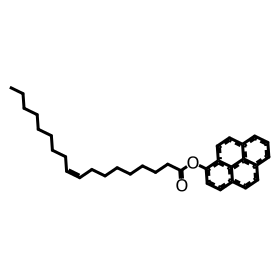 CCCCCCCC/C=C\CCCCCCCC(=O)Oc1ccc2ccc3cccc4ccc1c2c34